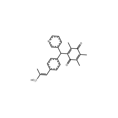 CC1=C(C)C(=O)C(C(c2ccc(/C=C(\C)C(=O)O)cc2)c2cccnc2)=C(C)C1=O